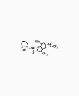 Cc1cc(C(=O)NC[C@H]2CCCC[C@@H]2O)nc2c(C(C)(C)C)cc(NCC(F)(F)F)cc12